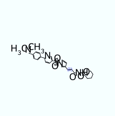 CN(C)Cc1ccc(-c2ccc(S(=O)(=O)n3ccc(/C=C/C(=O)NOC4CCCCO4)c3)cn2)cc1